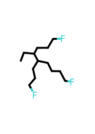 CCC(CCCF)C(CCCF)CCCCF